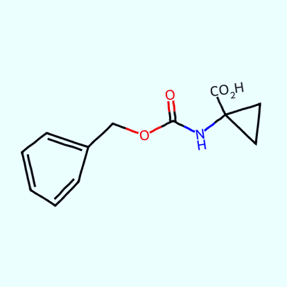 O=C(NC1(C(=O)O)CC1)OCc1ccccc1